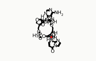 Nc1ncnc2c1ncn2[C@@H]1O[C@@]23CO[C@@H]1[C@@H]2OP(=O)(S)OC[C@H]1O[C@@H](n2ccc(=O)n4ccnc24)[C@H](OP(=O)(S)OC3)[C@@H]1O